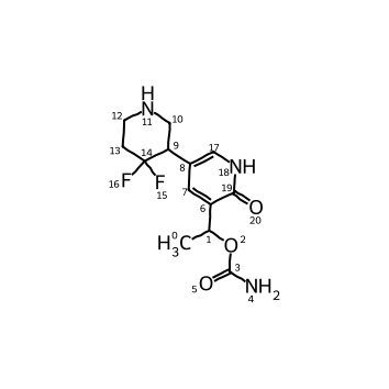 CC(OC(N)=O)c1cc(C2CNCCC2(F)F)c[nH]c1=O